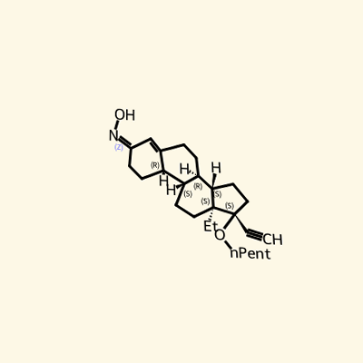 C#C[C@]1(OCCCCC)CC[C@H]2[C@@H]3CCC4=C/C(=N\O)CC[C@@H]4[C@H]3CC[C@@]21CC